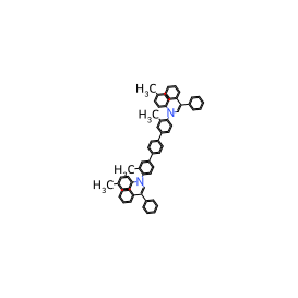 Cc1ccc(N(C=C(c2ccccc2)c2ccccc2)c2ccc(-c3ccc(-c4ccc(N(C=C(c5ccccc5)c5ccccc5)c5ccc(C)cc5)c(C)c4)cc3)cc2C)cc1